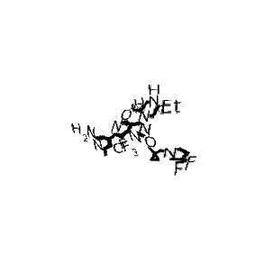 CC[C@@H]1CN2c3nc(OCC4(CN5CCC(F)(F)C5)CC4)nc4c(F)c(-c5cc(N)nc(C)c5C(F)(F)F)nc(c34)O[C@@H](C)[C@@H]2CN1